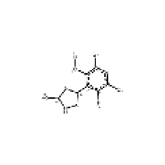 CCOc1c(C(C)=O)cc(Cl)c(F)c1C1CNC(O)C1